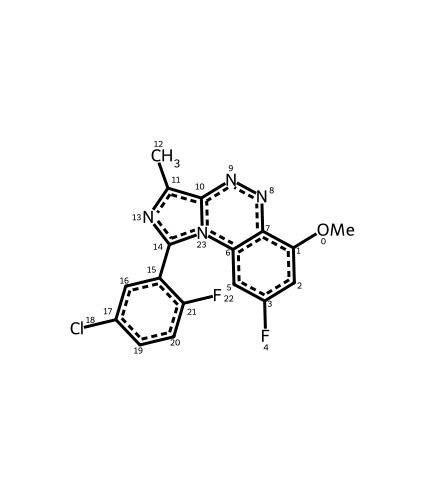 COc1cc(F)cc2c1nnc1c(C)nc(-c3cc(Cl)ccc3F)n12